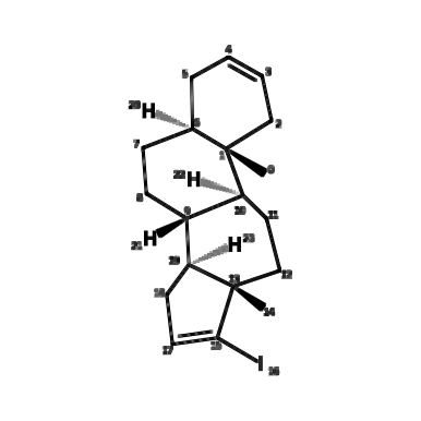 C[C@]12CC=CC[C@@H]1CC[C@@H]1[C@@H]2CC[C@]2(C)C(I)=CC[C@@H]12